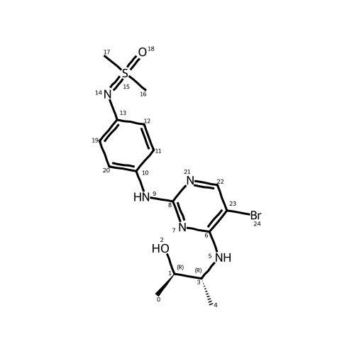 C[C@@H](O)[C@@H](C)Nc1nc(Nc2ccc(N=S(C)(C)=O)cc2)ncc1Br